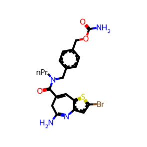 CCCN(Cc1ccc(COC(N)=O)cc1)C(=O)C1=Cc2sc(Br)cc2N=C(N)C1